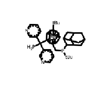 CC(C)(C)P(C[C]12[CH]3[C]4(C(C)(C)C)[CH]5[C]1(C(P)(c1cccnc1)c1cccnc1)[Fe]35241678[CH]2[CH]1[CH]6[CH]7[CH]28)C1C2CC3CC(C2)CC1C3